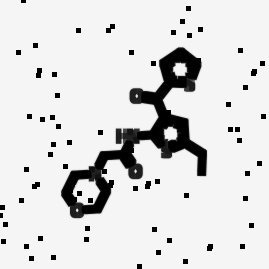 CCc1cc(C(=O)c2cccs2)c(NC(=O)CN2CCOCC2)s1